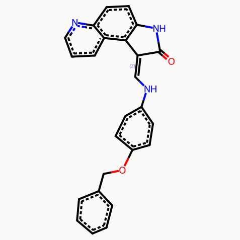 O=C1Nc2ccc3ncccc3c2/C1=C/Nc1ccc(OCc2ccccc2)cc1